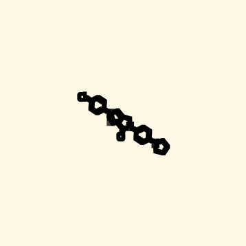 O=C1c2nn(-c3ccc(Cl)cc3)cc2CN1c1ccc(N2CCCC2)cc1